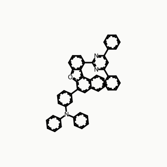 c1ccc(-c2cc(-c3ccccc3)nc(-c3cccc4oc5c(-c6cccc(N(c7ccccc7)c7ccccc7)c6)cc6ccccc6c5c34)n2)cc1